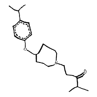 CC(C)C(=O)CCN1CCC(Oc2ccc(C(C)C)cc2)CC1